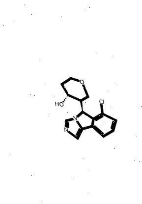 O[C@@H]1CCOCC1[C@H]1c2c(Cl)cccc2-c2cncn21